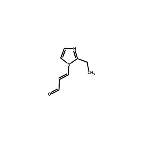 CCc1nccn1C=CC=O